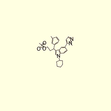 Cc1cccc(C(CCOS(C)(=O)=O)c2cn(C3CCCCC3)c3ccc(-c4ccnn4C)cc23)c1